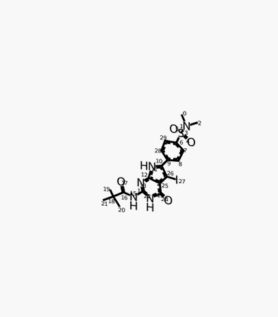 CN(C)S(=O)(=O)c1ccc(-c2[nH]c3nc(NC(=O)C(C)(C)C)[nH]c(=O)c3c2I)cc1